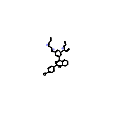 C=C/C=C\C=C\c1cc(/C(C=C)=C/C=C)cc(-c2nc(-c3ccc(Cl)cc3)nc3ccccc23)c1